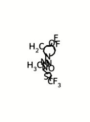 C=C1/C=C(OC(F)F)\C=C/CCN(c2nc(C)n(Cc3ccc(C(F)(F)F)s3)c(=O)n2)CC1